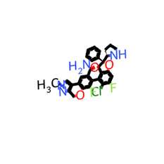 Cn1cc2c(n1)COc1c-2cc(C(N)=O)c(-c2c(Cl)c(F)cc3c2C[C@](c2ccccc2)([C@@H]2CCCN2)O3)c1F